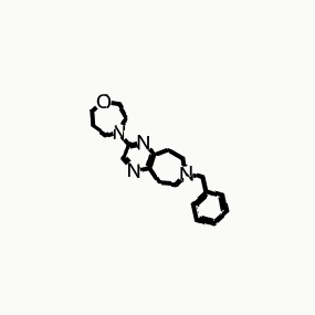 c1ccc(CN2CCc3ncc(N4CCCOCC4)nc3CC2)cc1